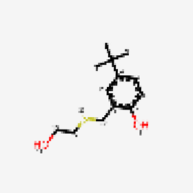 CC(C)(C)c1ccc(O)c(CSCCO)c1